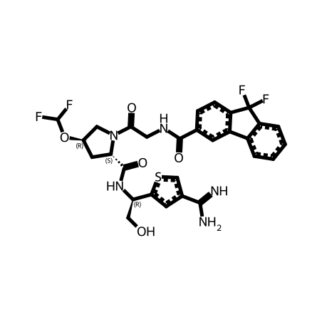 N=C(N)c1csc([C@@H](CO)NC(=O)[C@@H]2C[C@@H](OC(F)F)CN2C(=O)CNC(=O)c2ccc3c(c2)-c2ccccc2C3(F)F)c1